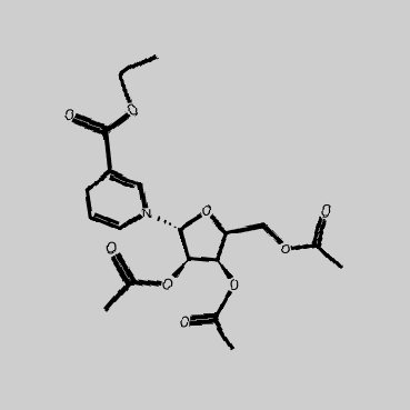 CCOC(=O)C1=CN([C@@H]2OC(COC(C)=O)[C@@H](OC(C)=O)[C@H]2OC(C)=O)C=CC1